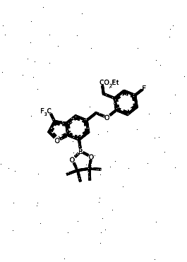 CCOC(=O)Cc1cc(F)ccc1OCc1cc(B2OC(C)(C)C(C)(C)O2)c2occ(C(F)(F)F)c2c1